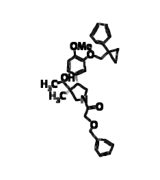 COc1ccc([C@@H]2CN(C(=O)COCc3ccccc3)C[C@@]2(C)[C@@H](C)O)cc1OCC1(c2ccccc2)CC1